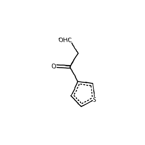 O=CCC(=O)c1ccsc1